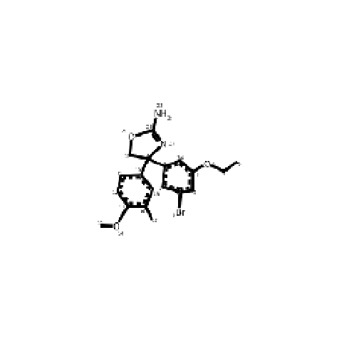 CCOc1cc(Br)cc(C2(c3ccc(OC)c(C)c3)COC(N)=N2)c1